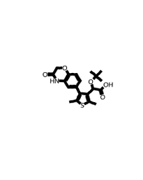 Cc1sc(C)c(C(OC(C)(C)C)C(=O)O)c1-c1ccc2c(c1)NC(=O)CO2